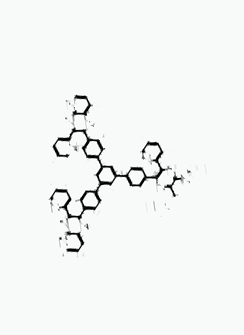 C=Cc1nc(-c2ccc(-c3cc(-c4ccc(-c5nc6cccnc6nc5-c5ccccn5)cc4)cc(-c4ccc(-c5nc6cccnc6nc5-c5ccccn5)cc4)c3)cc2)c(-c2ccccn2)nc1N=C